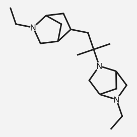 CCN1CC2CC1CC2CC(C)(C)N1CC2CC1CN2CC